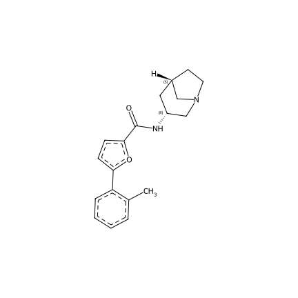 Cc1ccccc1-c1ccc(C(=O)N[C@@H]2C[C@@H]3CCN(C3)C2)o1